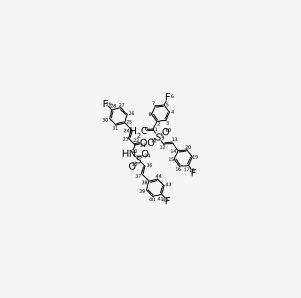 C=C(c1ccc(F)cc1)S(=O)(=O)C=Cc1ccc(F)cc1.O=C(/C=C/c1ccc(F)cc1)NS(=O)(=O)/C=C/c1ccc(F)cc1